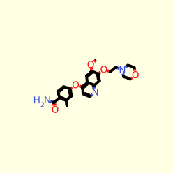 COc1cc2c(Oc3ccc(C(N)=O)c(C)c3)ccnc2cc1OCCN1CCOCC1